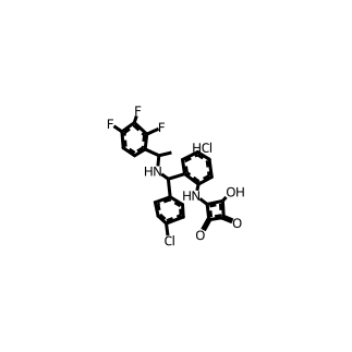 CC(NC(c1ccc(Cl)cc1)c1ccccc1Nc1c(O)c(=O)c1=O)c1ccc(F)c(F)c1F.Cl